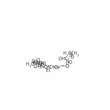 CCc1cc(Nc2ncc(Cl)c(Nc3ccccc3P(C)(C)=O)n2)c(OC)cc1N1CCC(N2CCN(CCC#Cc3cccc4c3CN(C(C=O)CCC(=O)N(C)C)C4=O)CC2)CC1